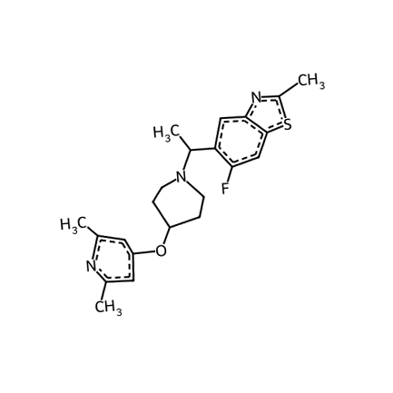 Cc1cc(OC2CCN(C(C)c3cc4nc(C)sc4cc3F)CC2)cc(C)n1